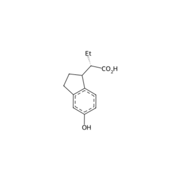 CC[C@H](C(=O)O)C1CCc2cc(O)ccc21